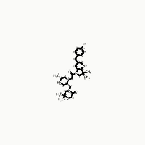 C[C@@H]1CN(CC(=O)N2CC(C)(C)c3ncc(Cc4ccc(F)cc4)cc32)[C@@H](CN2CC(C)(C)OCC2=O)CN1